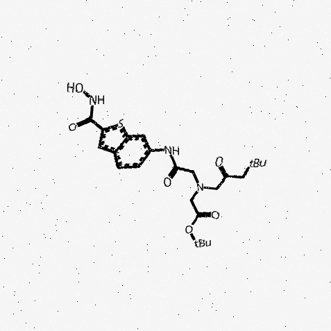 CC(C)(C)CC(=O)CN(CC(=O)Nc1ccc2cc(C(=O)NO)sc2c1)CC(=O)OC(C)(C)C